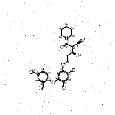 N#CC(C(=O)CCOc1cc(Oc2ccc(Cl)cc2F)c(Cl)cc1Cl)C(=O)N1CCCCC1